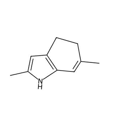 CC1=Cc2[nH]c(C)cc2CC1